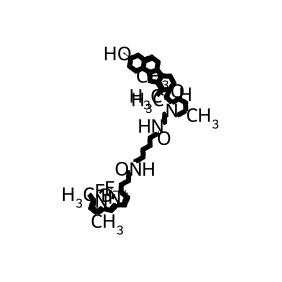 CC1=C2CC3C(CC=C4C[C@@H](O)CCC43C)C2CCC12O[C@@H]1CC(C)CN(CCNC(=O)CCCCCNC(=O)CCC3=[N+]4C(=Cc5c(C)cc(C)n5[B-]4(F)F)C=C3)C1C2C